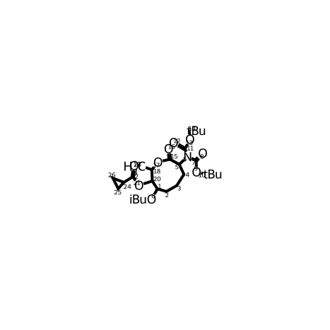 CC(C)COC1CCCC(N(C(=O)OC(C)(C)C)C(=O)OC(C)(C)C)C(=O)OC(C)C1OC(=O)C1CC1